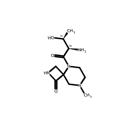 C[C@H](O)[C@@H](N)C(=O)N1CCN(C)CC12CNC2=O